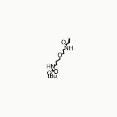 C=CC(=O)NCCOCCCNC(=O)OC(C)(C)C